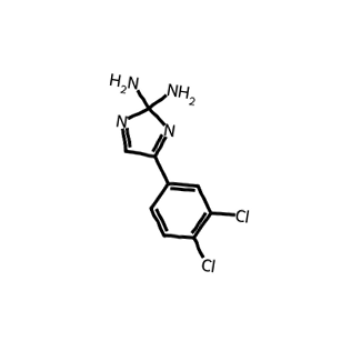 NC1(N)N=CC(c2ccc(Cl)c(Cl)c2)=N1